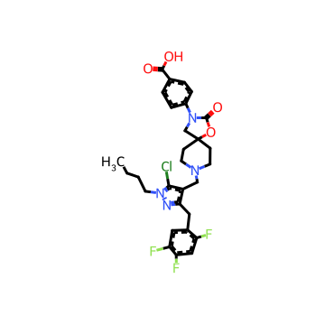 CCCCn1nc(Cc2cc(F)c(F)cc2F)c(CN2CCC3(CC2)CN(c2ccc(C(=O)O)cc2)C(=O)O3)c1Cl